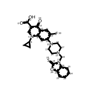 O=C(O)c1cn(C2CC2)c2cc(N3CCN(Cn4c(=S)oc5ccccc54)CC3)c(F)cc2c1=O